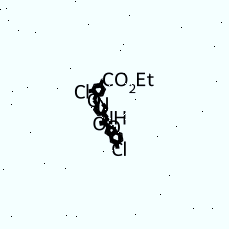 CCOC(=O)Cc1ccc(Oc2ccc(NC(=O)c3cc4cc(Cl)ccc4o3)cn2)c(Cl)c1